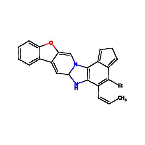 C/C=C\c1c2c(c3c(c1CC)=CCC=3)N1C=c3oc4ccccc4c3=CC1N2